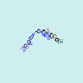 N#Cc1ccc(OC2CCC(NC(=O)c3ccc(N4CCC(CN5CCN(c6ccn7c(N8CCC(=O)NC8=O)cnc7c6)CC5)CC4)nn3)CC2)cc1Cl